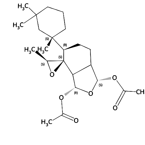 CC(=O)O[C@@H]1O[C@H](OC(C)=O)C2C1CC[C@H]([C@@]1(C)CCCC(C)(C)C1)[C@]21O[C@H]1C